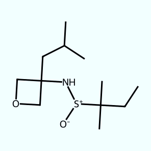 CCC(C)(C)[S+]([O-])NC1(CC(C)C)COC1